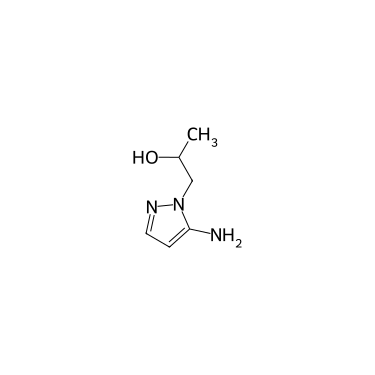 CC(O)Cn1nccc1N